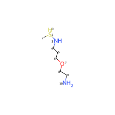 C[SH](C)NCCCOCCN